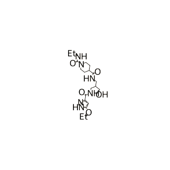 CCNC(=O)N1CCC(C(=O)NCC(CO)CNC(=O)c2cc(OCC)[nH]n2)CC1